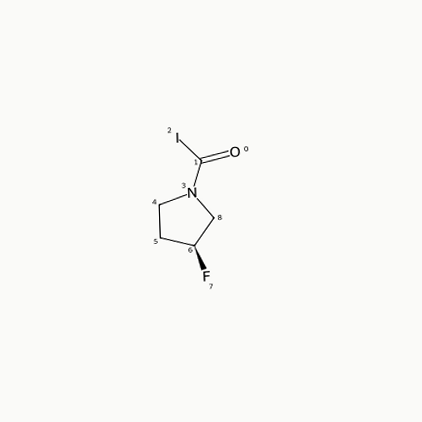 O=C(I)N1CC[C@H](F)C1